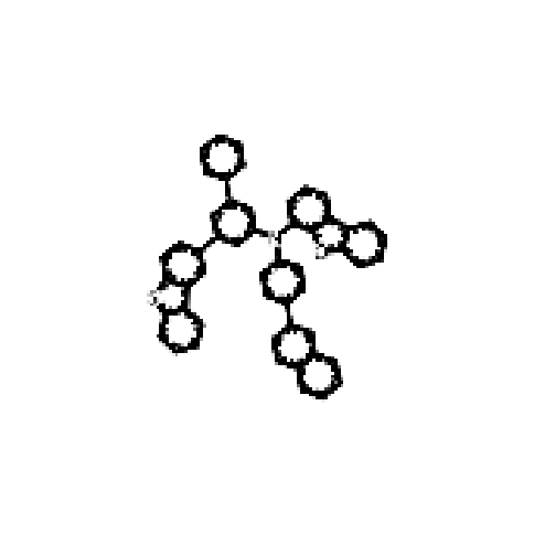 c1ccc(-c2cc(-c3ccc4sc5ccccc5c4c3)cc(N(c3ccc(-c4ccc5ccccc5c4)cc3)c3cccc4c3oc3ccccc34)c2)cc1